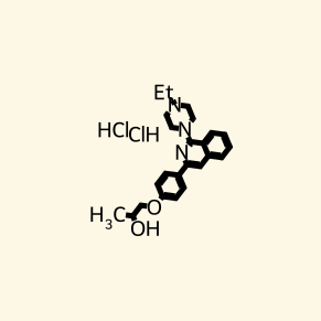 CCN1CCN(c2nc(-c3ccc(OCC(C)O)cc3)cc3ccccc23)CC1.Cl.Cl